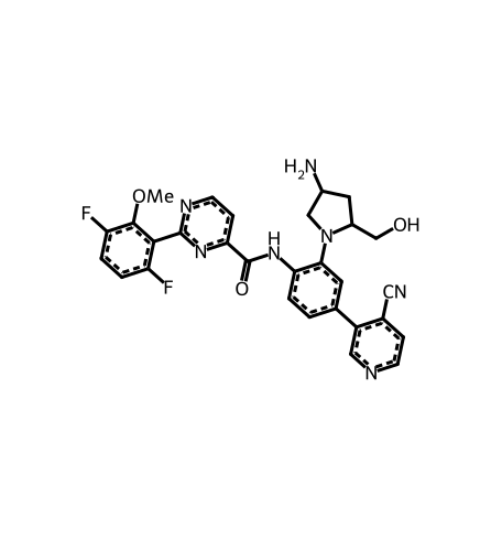 COc1c(F)ccc(F)c1-c1nccc(C(=O)Nc2ccc(-c3cnccc3C#N)cc2N2CC(N)CC2CO)n1